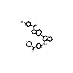 CC(C)(C)c1ccc(C(=O)N2CCc3cc(-c4cn5ccnc5c(Nc5ccc(C(=O)N6CCOCC6)cc5)n4)ccc32)cc1